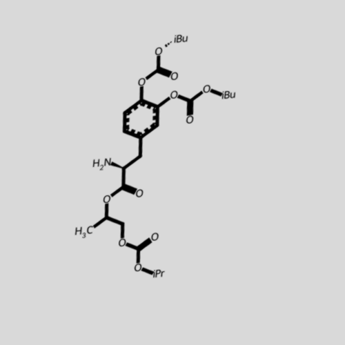 CCC(C)OC(=O)Oc1cc(C[C@H](N)C(=O)OC(C)COC(=O)OC(C)C)ccc1OC(=O)O[C@@H](C)CC